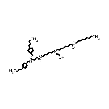 CCCCCCCCCOC(=O)CCCCCCCN(CCO)CCCCCCOC(=O)CCC(OCc1ccc(CCCC)cc1)OCc1ccc(CCCC)cc1